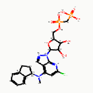 CN(c1cc(Cl)nc2c1cnn2C1OC(COP(=O)(O)CP(=O)(O)O)C(O)C1O)[C@@H]1CCc2ccccc21